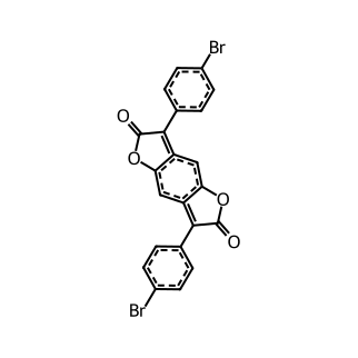 O=C1Oc2cc3c(cc2=C1c1ccc(Br)cc1)OC(=O)C=3c1ccc(Br)cc1